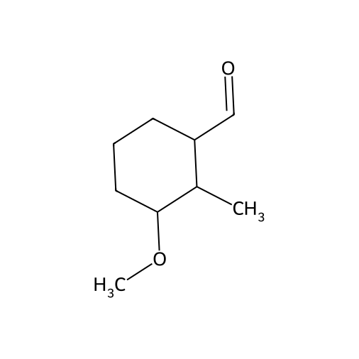 COC1CCCC(C=O)C1C